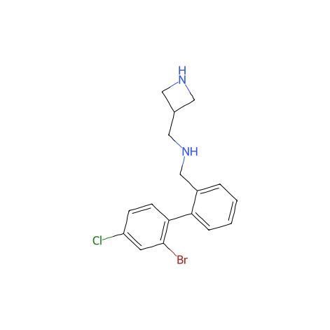 Clc1ccc(-c2ccccc2CNCC2CNC2)c(Br)c1